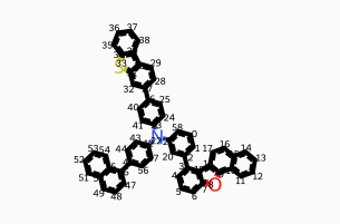 c1cc(-c2cccc3oc4c5ccccc5ccc4c23)cc(N(c2ccc(-c3ccc4c(c3)sc3ccccc34)cc2)c2ccc(-c3cccc4ccccc34)cc2)c1